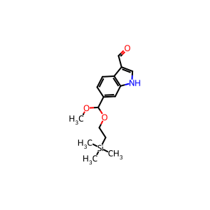 COC(OCC[Si](C)(C)C)c1ccc2c(C=O)c[nH]c2c1